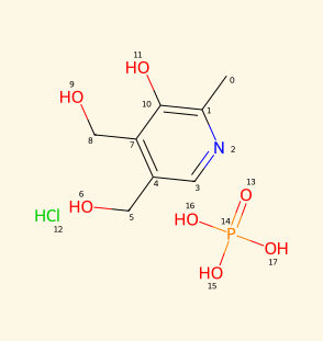 Cc1ncc(CO)c(CO)c1O.Cl.O=P(O)(O)O